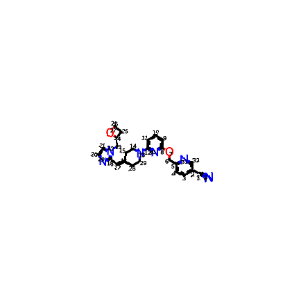 N#Cc1ccc(COc2cccc(N3CCC(=Cc4nccn4C[C@@H]4CCO4)CC3)n2)nc1